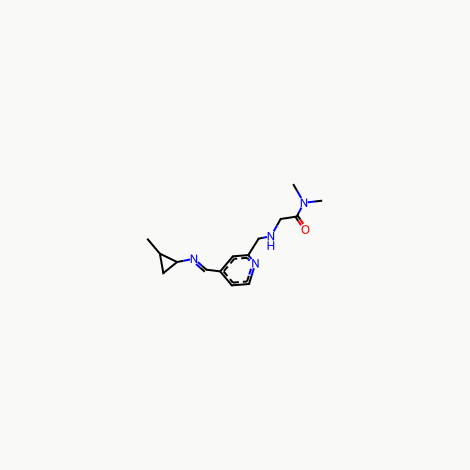 CC1CC1N=Cc1ccnc(CNCC(=O)N(C)C)c1